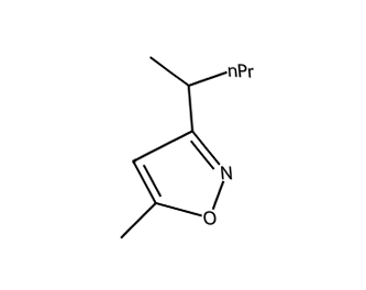 CCCC(C)c1cc(C)on1